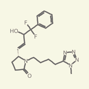 Cn1nnnc1CCCCN1C(=O)CC[C@@H]1C=CC(O)C(F)(F)c1ccccc1